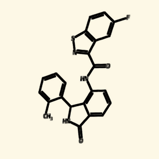 Cc1ccccc1C1NC(=O)c2cccc(NC(=O)c3nsc4ccc(F)cc34)c21